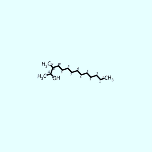 CCCCCCCCCCCC(C)C(C)O